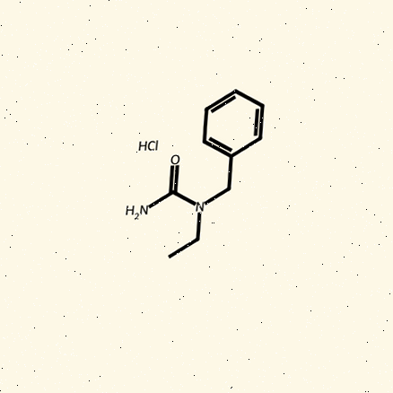 CCN(Cc1ccccc1)C(N)=O.Cl